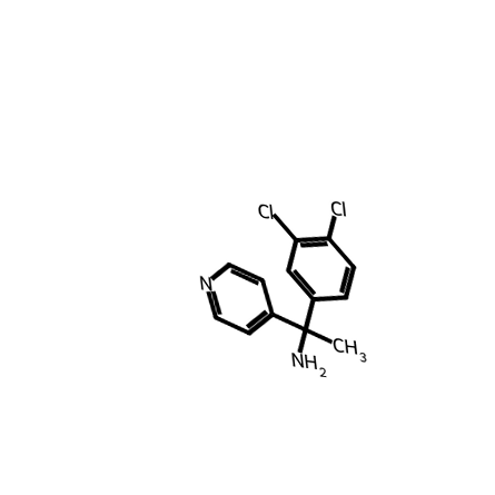 CC(N)(c1ccncc1)c1ccc(Cl)c(Cl)c1